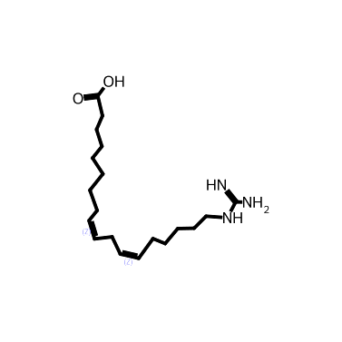 N=C(N)NCCCCC/C=C\C/C=C\CCCCCCCC(=O)O